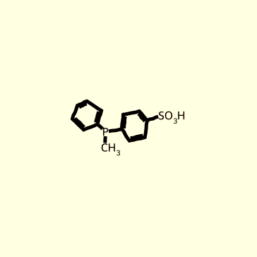 CP(c1ccccc1)c1ccc(S(=O)(=O)O)cc1